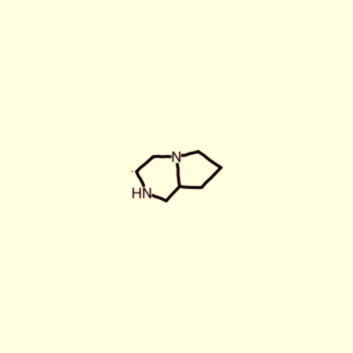 [CH]1CN2CCCC2CN1